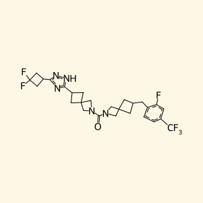 O=C(N1CC2(CC(Cc3ccc(C(F)(F)F)cc3F)C2)C1)N1CC2(CC(c3nc(C4CC(F)(F)C4)n[nH]3)C2)C1